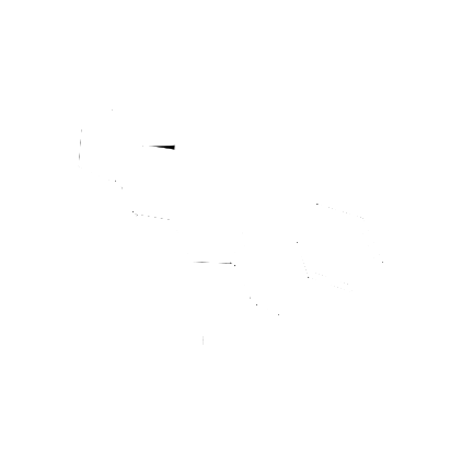 CN(Cc1ccccc1)C(=O)CCC(=O)N1CCC[C@H]1C=O